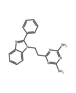 Nc1nc(N)nc(CCn2c(-c3ccccc3)nc3ccccc32)n1